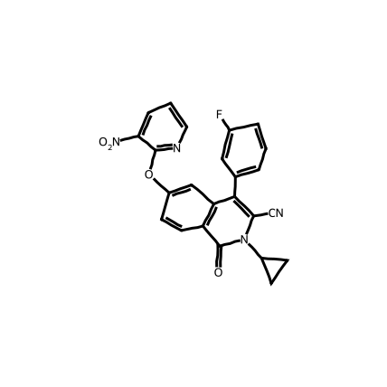 N#Cc1c(-c2cccc(F)c2)c2cc(Oc3ncccc3[N+](=O)[O-])ccc2c(=O)n1C1CC1